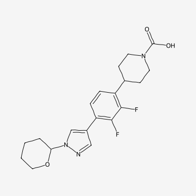 O=C(O)N1CCC(c2ccc(-c3cnn(C4CCCCO4)c3)c(F)c2F)CC1